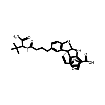 CC(C)(C)C(NC(=O)CCCc1ccc2c(c1)[C@]1(/C=C\c3nc(C(=O)O)co3)c3ccccc3NC1O2)C(N)=O